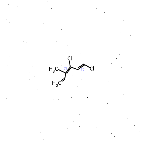 C=C/C(C)=C(Cl)\C=C\Cl